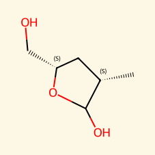 C[C@H]1C[C@@H](CO)OC1O